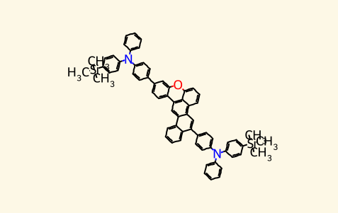 C[Si](C)(C)c1ccc(N(c2ccccc2)c2ccc(-c3ccc4c(c3)Oc3cccc5c3c-4cc3c4ccccc4c(-c4ccc(N(c6ccccc6)c6ccc([Si](C)(C)C)cc6)cc4)cc53)cc2)cc1